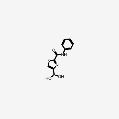 O=C(Nc1ccccc1)c1nc(B(O)O)cs1